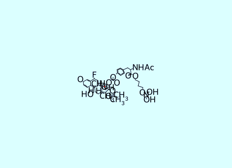 CC(=O)NC(Cc1ccc(OC(=O)OCC(=O)[C@@]23OC(C)(C)O[C@@H]2C[C@H]2[C@@H]4C[C@H](F)C5=CC(=O)C=C[C@]5(C)[C@H]4[C@@H](O)C[C@@]23C)cc1)C(=O)OCCCCON(O)O